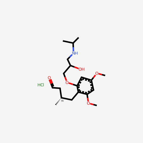 COc1cc(OC)c(C[C@H](C)CC=O)c(OCC(O)CNC(C)C)c1.Cl